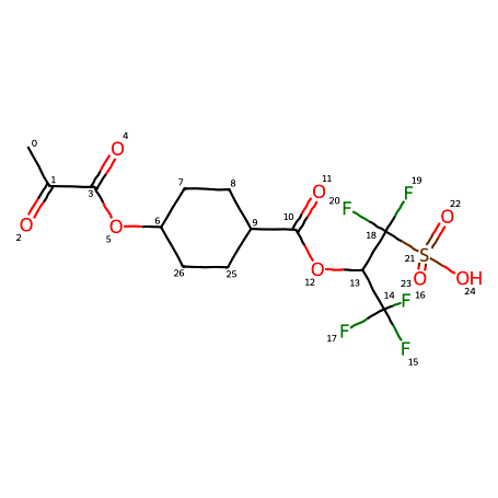 CC(=O)C(=O)OC1CCC(C(=O)OC(C(F)(F)F)C(F)(F)S(=O)(=O)O)CC1